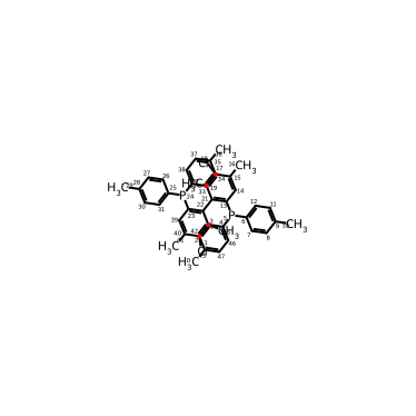 Cc1ccc(P(c2ccc(C)cc2)c2cc(C)c(Cl)c(C)c2-c2c(P(c3ccc(C)cc3)c3ccc(C)cc3)cc(C)c(Cl)c2C)cc1